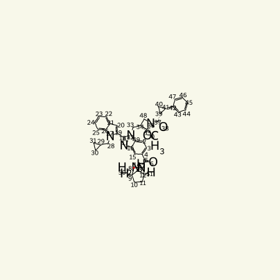 COc1cc(C(=O)N2C[C@H]3CC[C@@H]2[C@@H]3N)cc2nc(-c3cc4ccccc4n3CC3CC3)n(CC3CN(C(=O)[C@@H]4C[C@H]4c4ccccc4)C3)c12